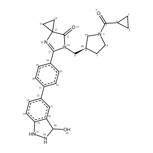 O=C(C1CC1)N1CC[C@@H](CN2C(=O)C3(CC3)N=C2c2ccc(-c3ccc4c(c3)C(O)NN4)cc2)C1